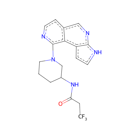 O=C(CC(F)(F)F)NC1CCCN(c2nccc3cnc4[nH]ccc4c23)C1